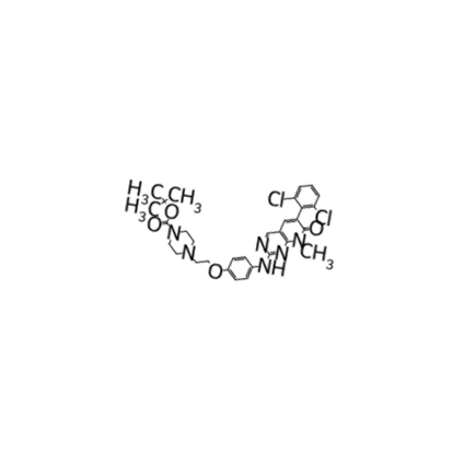 Cn1c(=O)c(-c2c(Cl)cccc2Cl)cc2cnc(Nc3ccc(OCCN4CCN(C(=O)OC(C)(C)C)CC4)cc3)nc21